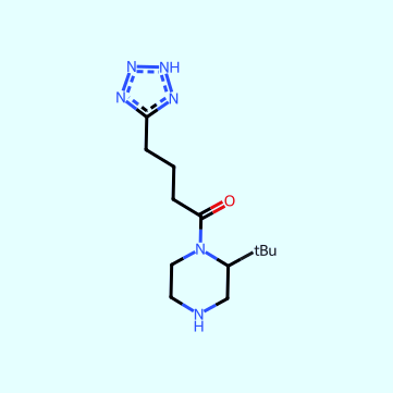 CC(C)(C)C1CNCCN1C(=O)CCCc1nn[nH]n1